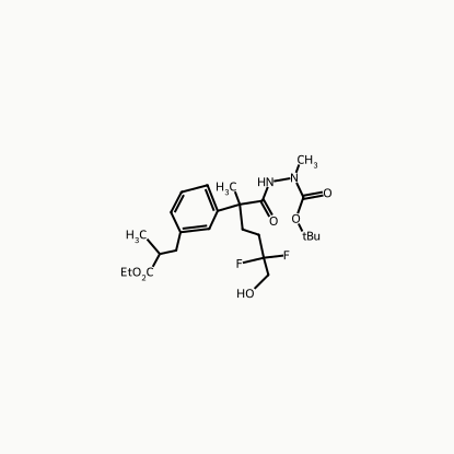 CCOC(=O)C(C)Cc1cccc(C(C)(CCC(F)(F)CO)C(=O)NN(C)C(=O)OC(C)(C)C)c1